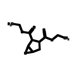 CCOC(=O)C1CC2OC2C1C(=O)OCC